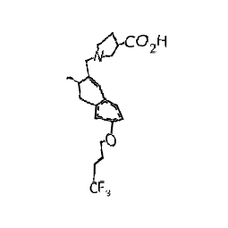 C[C@@H]1Cc2cc(OCCCC(F)(F)F)ccc2C=C1CN1CC[C@@H](C(=O)O)C1